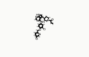 C=CC(=O)N1CCC(c2c[nH]c3ncnc(Nc4ccc(OCc5ccc(Cl)cn5)c(Cl)c4)c23)CC1